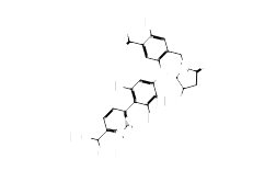 CC1CC(=O)N(Cc2cc(F)c(C(=O)O)cc2Oc2cc(F)c(-c3ccc(C(C)C)nn3)c(F)c2)C1